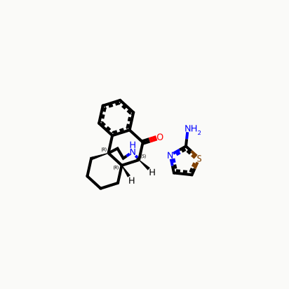 Nc1nccs1.O=C1c2ccccc2[C@@]23CCCC[C@H]2[C@@H]1NCC3